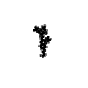 CC(C)(C)OC(=O)N[C@@H](CCC(Cc1ccc(OCC[18F])cc1)C(=O)OC(C)(C)C)C(=O)OC(C)(C)C